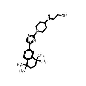 CC1(C)CCC(C)(C)c2cc(-c3csc(N4CCC(NCCO)CC4)n3)ccc21